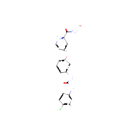 CONC(=O)c1cc(Oc2cccc(NC(=O)Nc3ccc(Cl)c(Cl)c3)c2)ccn1